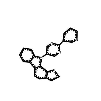 c1cncc(-c2ncc(-n3c4ccccc4c4ccc5ccoc5c43)cn2)c1